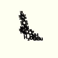 CC(C)COC(=O)Nc1ccc(-c2nn(C3CCC(N4CCN(C)CC4)CC3)c3ncnc(N)c23)cc1